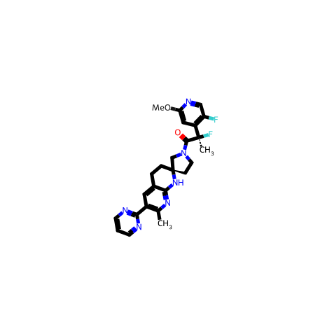 COc1cc([C@@](C)(F)C(=O)N2CC[C@@]3(CCc4cc(-c5ncccn5)c(C)nc4N3)C2)c(F)cn1